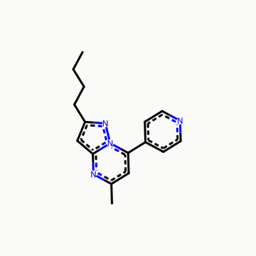 CCCCc1cc2nc(C)cc(-c3ccncc3)n2n1